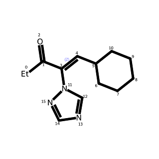 CCC(=O)/C(=C/C1CCCCC1)n1cncn1